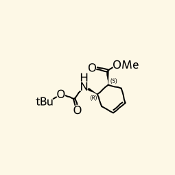 COC(=O)[C@H]1CC=CC[C@H]1NC(=O)OC(C)(C)C